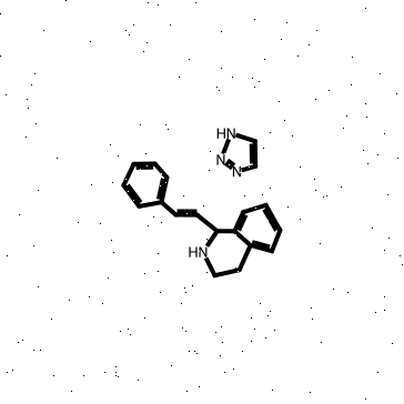 C(=CC1NCCc2ccccc21)c1ccccc1.c1c[nH]nn1